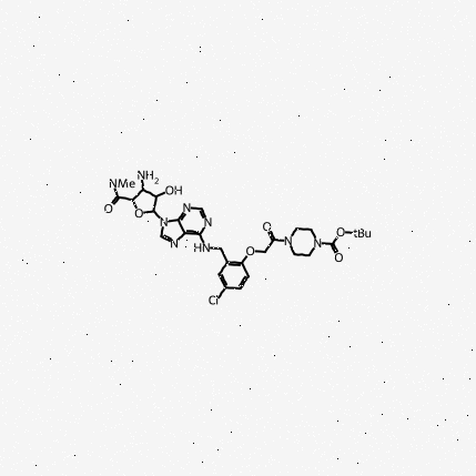 CNC(=O)C1OC(n2cnc3c(NCc4cc(Cl)ccc4OCC(=O)N4CCN(C(=O)OC(C)(C)C)CC4)ncnc32)C(O)C1N